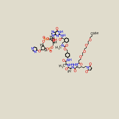 COCCOCCOCCOCCOCCC(=O)N[C@@H](CCCCN1C(=O)C=CC1=O)C(=O)N[C@H](C(=O)N[C@@H](C)C(=O)Nc1ccc(COC(=O)N(C)Cc2ccccc2C(=O)Nc2nc3c(ncn3[C@@H]3O[C@@H]4CO[P+](=O)O[C@H]5C[C@H](Oc6ccncn6)C[C@@H]5CO[PH](=O)O[C@@H]3[C@@H]4O)c(=O)[nH]2)cc1)C(C)C